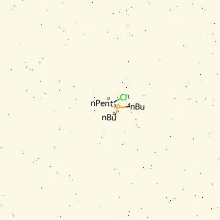 CCCCCCl.CCCC[P]CCCC